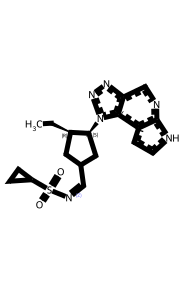 CC[C@@H]1CC(/C=N\S(=O)(=O)C2CC2)C[C@@H]1n1nnc2cnc3[nH]ccc3c21